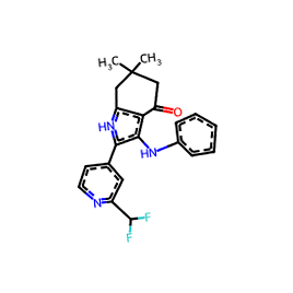 CC1(C)CC(=O)c2c([nH]c(-c3ccnc(C(F)F)c3)c2Nc2ccccc2)C1